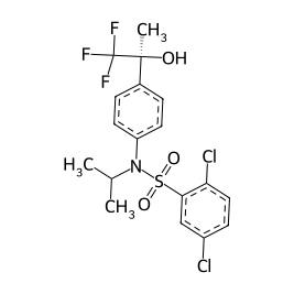 CC(C)N(c1ccc([C@](C)(O)C(F)(F)F)cc1)S(=O)(=O)c1cc(Cl)ccc1Cl